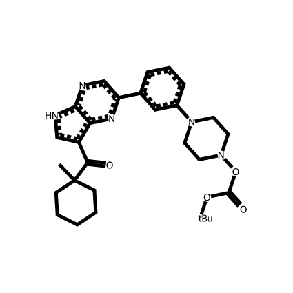 CC(C)(C)OC(=O)ON1CCN(c2cccc(-c3cnc4[nH]cc(C(=O)C5(C)CCCCC5)c4n3)c2)CC1